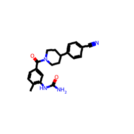 Cc1ccc(C(=O)N2CCC(c3ccc(C#N)cc3)CC2)cc1NC(N)=O